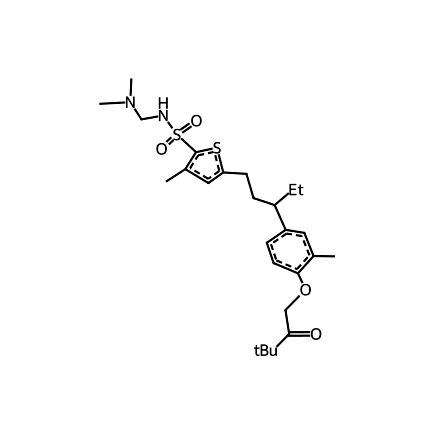 CCC(CCc1cc(C)c(S(=O)(=O)NCN(C)C)s1)c1ccc(OCC(=O)C(C)(C)C)c(C)c1